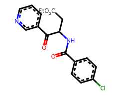 CCOC(=O)CC(NC(=O)c1ccc(Cl)cc1)C(=O)c1cccnc1